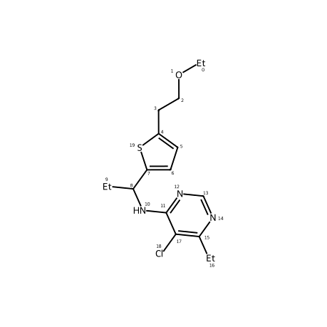 CCOCCc1ccc(C(CC)Nc2ncnc(CC)c2Cl)s1